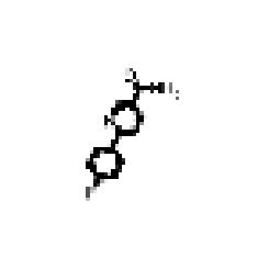 NC(=O)c1ccc(-c2ccc(F)cc2)nc1